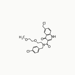 COCCOCCN(Cc1ccc(Cl)cc1)C(=O)c1c[nH]c2ccc(CCl)cc2c1=O